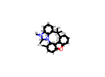 Cc1ccc2oc3cccc4c3c2c1N1c2c(cccc2C4(C)C)N(C)C1C